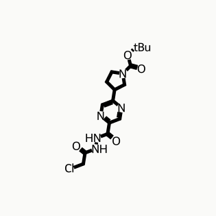 CC(C)(C)OC(=O)N1CCC(c2cnc(C(=O)NNC(=O)CCl)cn2)C1